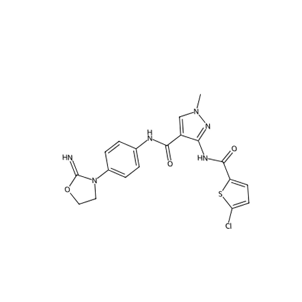 Cn1cc(C(=O)Nc2ccc(N3CCOC3=N)cc2)c(NC(=O)c2ccc(Cl)s2)n1